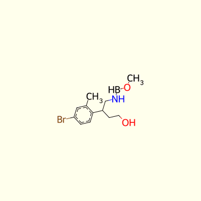 COBNCC(CCO)c1ccc(Br)cc1C